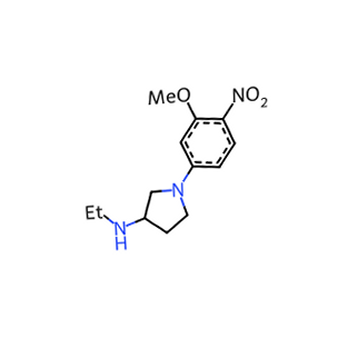 CCNC1CCN(c2ccc([N+](=O)[O-])c(OC)c2)C1